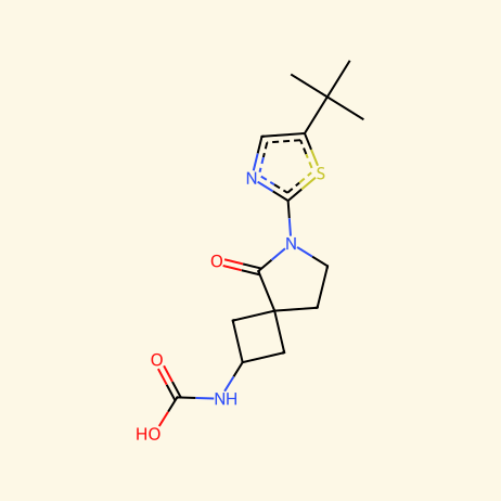 CC(C)(C)c1cnc(N2CCC3(CC(NC(=O)O)C3)C2=O)s1